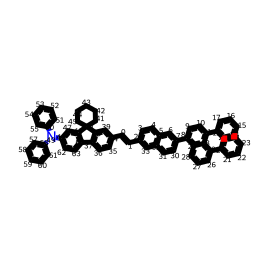 C(=C\c1ccc2cc(-c3ccc(-c4ccccc4)c4c(-c5ccccc5)cccc34)ccc2c1)/c1ccc2c(c1)C1(CCCCC1)c1cc(N(c3ccccc3)c3ccccc3)ccc1-2